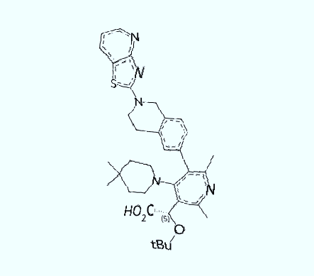 Cc1nc(C)c([C@H](OC(C)(C)C)C(=O)O)c(N2CCC(C)(C)CC2)c1-c1ccc2c(c1)CCN(c1nc3ncccc3s1)C2